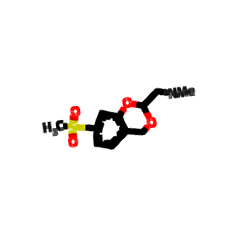 CNCC1OCc2ccc(S(C)(=O)=O)cc2O1